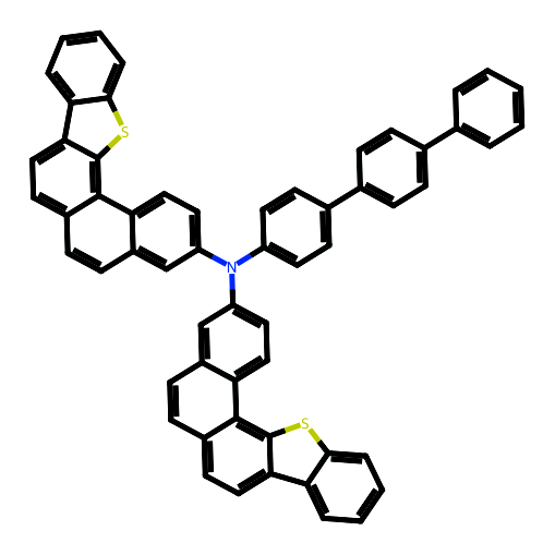 c1ccc(-c2ccc(-c3ccc(N(c4ccc5c(ccc6ccc7c8ccccc8sc7c65)c4)c4ccc5c(ccc6ccc7c8ccccc8sc7c65)c4)cc3)cc2)cc1